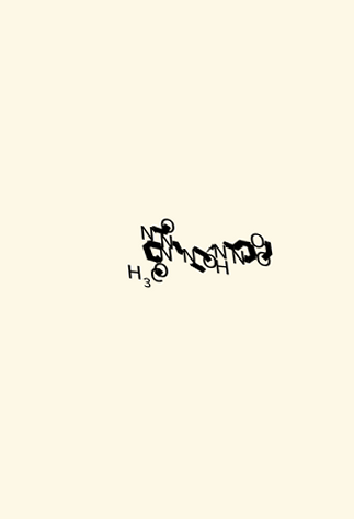 COc1ccc2ncc(=O)n(CCN3CCO[C@@H](CNCc4cc5c(cn4)OCCO5)C3)c2n1